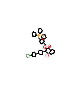 O=C1C(OCc2ccc(C[PH](c3ccccc3)(c3ccccc3)c3ccccc3)cc2)=C(C2CCC(c3ccc(Cl)cc3)CC2)C(=O)c2ccccc21